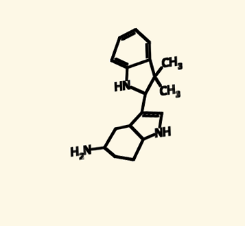 CC1(C)c2ccccc2NC1C1=CNC2CCC(N)CC12